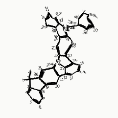 CC1(C)c2ccccc2-c2cc3c4cccc5c6cc7c(cc6n(c3cc21)c45)c1ccccc1n7-c1ccccc1